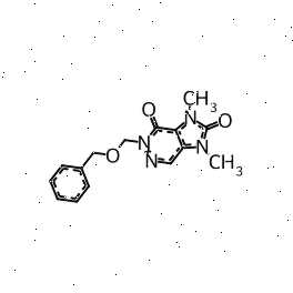 Cn1c(=O)n(C)c2c(=O)n(COCc3ccccc3)ncc21